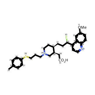 COc1ccc2nccc([C@H](F)CC[C@@H]3CCN(CCCSc4ccc(C)cc4)C[C@@H]3CC(=O)O)c2c1